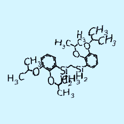 CC(C)Oc1cccc([SiH2]C[SiH2]c2cccc(OC(C)C)c2OC(C)C)c1OC(C)C